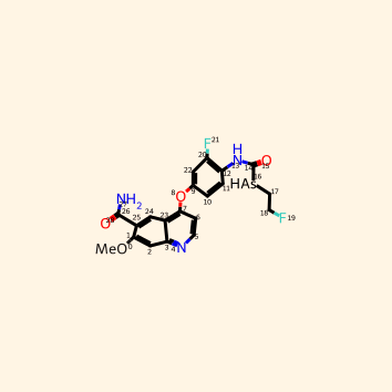 COc1cc2nccc(Oc3ccc(NC(=O)[AsH]CCF)c(F)c3)c2cc1C(N)=O